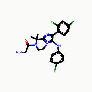 CC1(C)c2nc(-c3ccc(F)cc3F)c(Nc3ccc(F)cc3)n2CCN1C(=O)CN